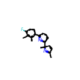 CC1=NC(C)(c2cccc(-c3ccc(F)c(C)c3C)n2)C=C1